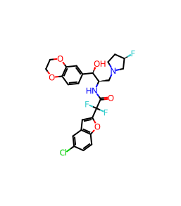 O=C(N[C@H](CN1CC[C@@H](F)C1)[C@H](O)c1ccc2c(c1)OCCO2)C(F)(F)c1cc2cc(Cl)ccc2o1